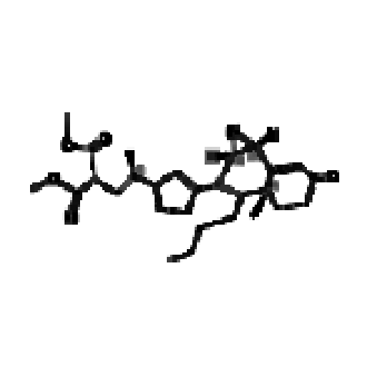 CCCCC1C(C2CCC([C@H](C)CC(C(=O)OC)C(=O)OC)C2)[C@@H]2O[C@@H]2C2=CC(=O)CC[C@@]21C